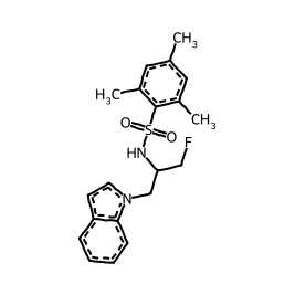 Cc1cc(C)c(S(=O)(=O)NC(CF)Cn2ccc3ccccc32)c(C)c1